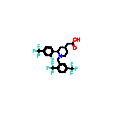 O=C(O)CC1CCN(Cc2cc(C(F)(F)F)ccc2C(F)(F)F)C(c2ccc(C(F)(F)F)cc2F)C1